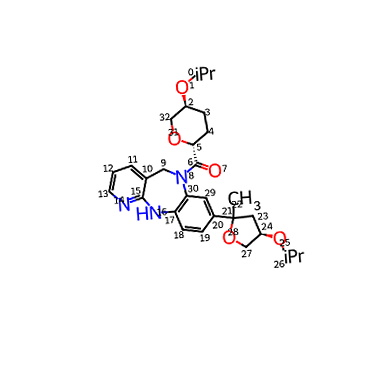 CC(C)O[C@H]1CC[C@H](C(=O)N2Cc3cccnc3Nc3ccc(C4(C)C[C@@H](OC(C)C)CO4)cc32)OC1